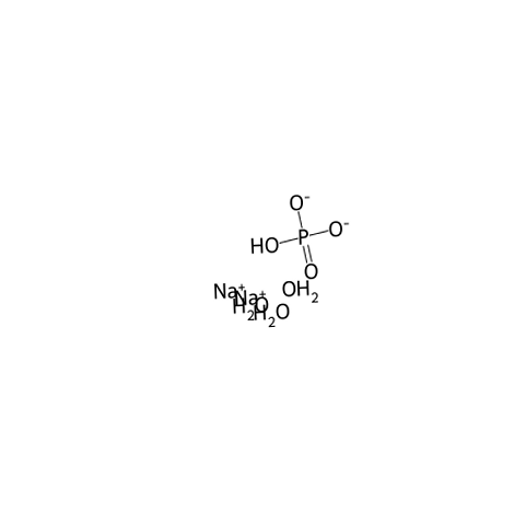 O.O.O.O=P([O-])([O-])O.[Na+].[Na+]